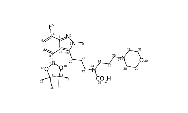 Cn1nc2c(F)ccc(B3OC(C)(C)C(C)(C)O3)c2c1CCCN(CCCN1CCOCC1)C(=O)O